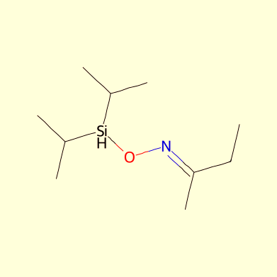 CCC(C)=NO[SiH](C(C)C)C(C)C